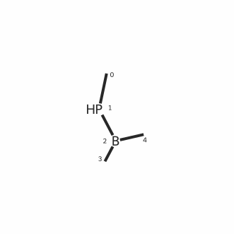 CPB(C)C